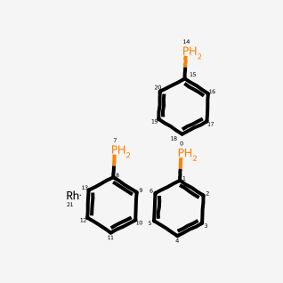 Pc1ccccc1.Pc1ccccc1.Pc1ccccc1.[Rh]